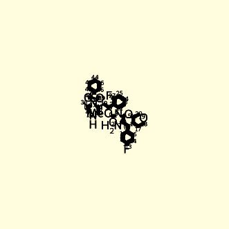 COC(=O)N(C(=O)[C@@H](N)[C@@H](c1ccc(F)cc1)C1CCOCC1)c1cccc(F)c1CC[C@H]1CNC[C@@H](C)N1S(=O)(=O)c1ccccc1